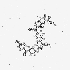 CCCN(C(=O)Nc1cc(C(N)=O)c(F)cc1F)C1CCN(Cc2ccc(Oc3ccc(C(=O)N4CCN(C(C)=O)CC4)cc3)nc2C)CC1